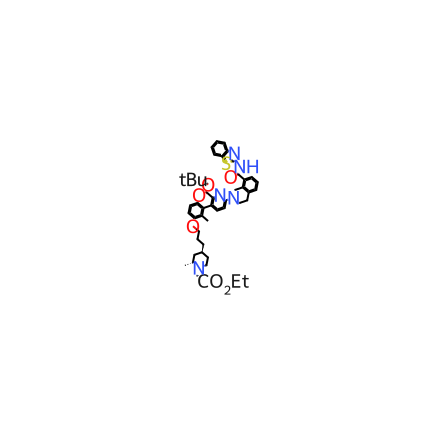 CCOC(=O)CN1CC[C@H](CCCOc2cccc(-c3ccc(N4CCc5cccc(C(=O)Nc6nc7ccccc7s6)c5C4)nc3C(=O)OC(C)(C)C)c2C)C[C@H]1C